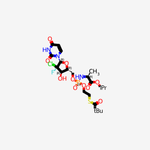 CC(C)OC(=O)[C@@H](C)N[P@@](=O)(OCCSC(=O)C(C)(C)C)OC[C@H]1O[C@@H](n2ccc(=O)[nH]c2=O)[C@](F)(Cl)[C@@H]1O